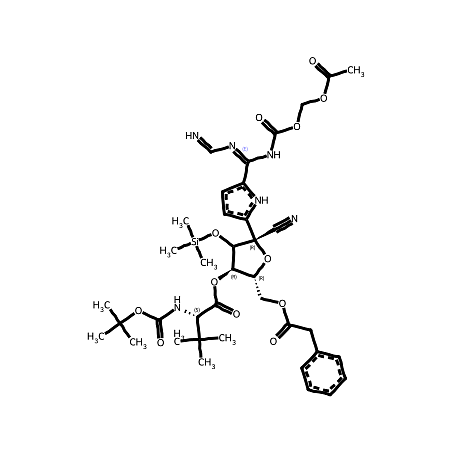 CC(=O)OCOC(=O)N/C(=N/C=N)c1ccc([C@]2(C#N)O[C@H](COC(=O)Cc3ccccc3)[C@@H](OC(=O)[C@@H](NC(=O)OC(C)(C)C)C(C)(C)C)C2O[Si](C)(C)C)[nH]1